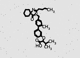 CCCCC1=NC2(CCCCC2)C(=O)N1Cc1ccc(-c2cccc(OC(C(=O)O)C(C)C)c2)c(C)c1